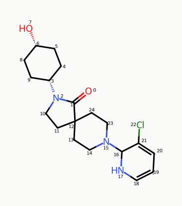 O=C1N([C@H]2CC[C@@H](O)CC2)CCC12CCN(C1NC=[C]C=C1Cl)CC2